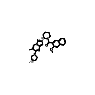 COc1cc2ccccc2cc1C(=O)N1CCCC[C@H]1c1cc2nc(N3CC[C@H](C)C3)c(C)cn2n1